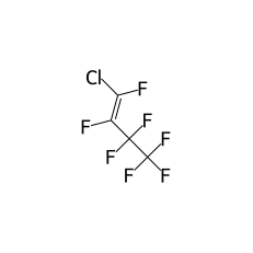 F/C(Cl)=C(/F)C(F)(F)C(F)(F)F